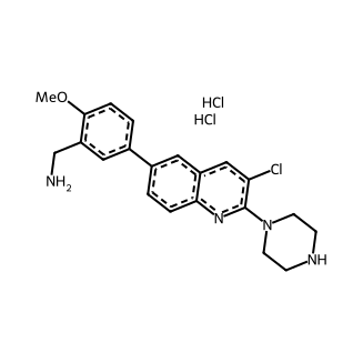 COc1ccc(-c2ccc3nc(N4CCNCC4)c(Cl)cc3c2)cc1CN.Cl.Cl